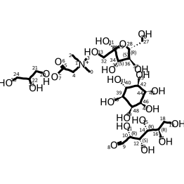 C[N+](C)(C)CC(=O)[O-].O=C[C@H](O)[C@@H](O)[C@H](O)[C@H](O)CO.OCC(O)CO.OC[C@H]1O[C@](O)(CO)[C@@H](O)[C@@H]1O.O[C@H]1[C@H](O)[C@@H](O)[C@H](O)[C@@H](O)[C@H]1O